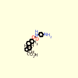 C[C@]12CCC(OC(=O)Nc3ccc(N)cc3)CC1CC[C@@H]1[C@@H]2CC[C@]2(C)C(C(=O)O)CC[C@@H]12